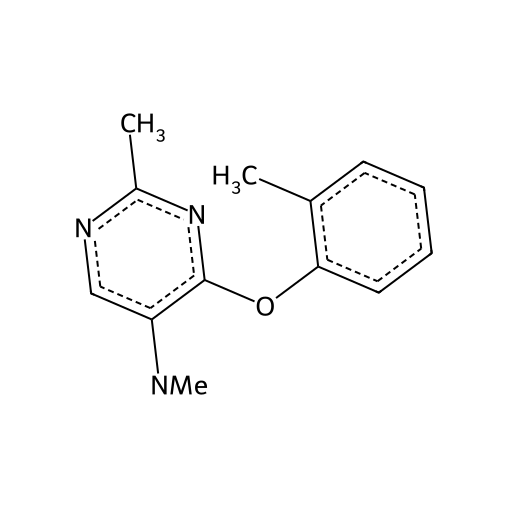 CNc1cnc(C)nc1Oc1ccccc1C